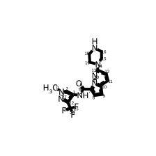 Cn1cc(NC(=O)c2ccc3ccc(N4CCNCC4)nn23)c(C(F)(F)F)n1